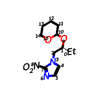 CC[C@H](Cn1ccnc1[N+](=O)[O-])OC1CCCCO1